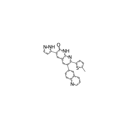 Cc1ccc(-c2nc3[nH]c(=O)c(-c4ccn[nH]4)cc3cc2-c2ccc3ncccc3c2)s1